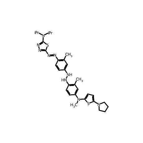 Cc1cc(NNc2ccc(N(C)c3ccc(N4CCCC4)s3)cc2C)ccc1/N=N/c1nnc(N(C(C)C)C(C)C)s1